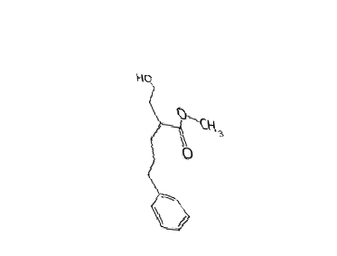 COC(=O)C(CCO)CCCc1ccccc1